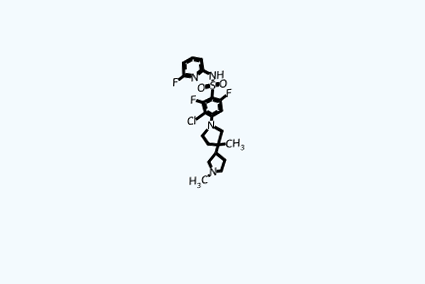 CN1CCC(C2(C)CCN(c3cc(F)c(S(=O)(=O)Nc4cccc(F)n4)c(F)c3Cl)C2)C1